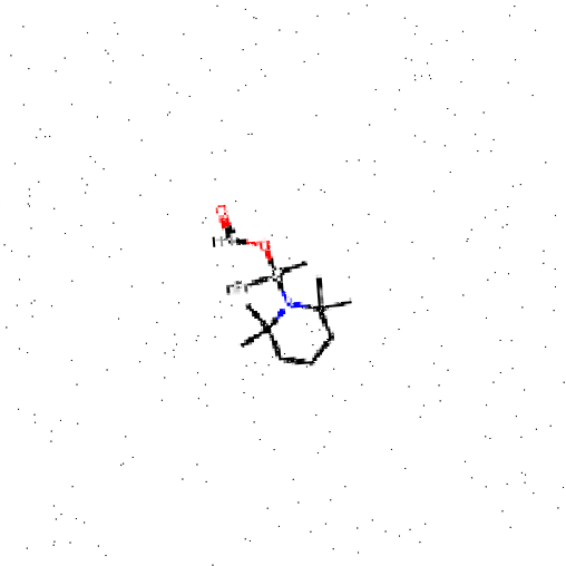 CCC[Si](C)(O[SiH]=O)N1C(C)(C)CCCC1(C)C